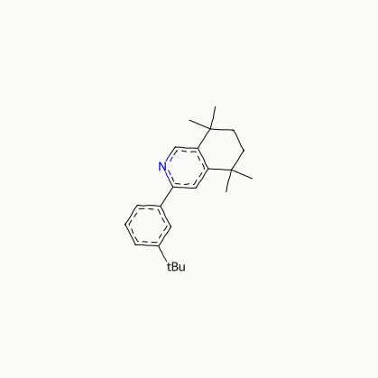 CC(C)(C)c1cccc(-c2cc3c(cn2)C(C)(C)CCC3(C)C)c1